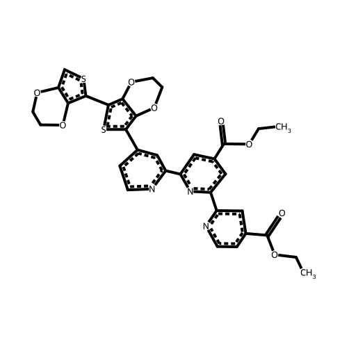 CCOC(=O)c1ccnc(-c2cc(C(=O)OCC)cc(-c3cc(-c4sc(-c5scc6c5OCCO6)c5c4OCCO5)ccn3)n2)c1